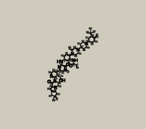 C=CC(=O)Nc1cc(Nc2nc(-c3ccnc(N4CCn5c(cc6c5CC(C)(C)C6)C4=O)c3CO)cn(C)c2=O)ccc1N1CCN(C2CCN(c3ccc(F)c(C(C)(C)C)c3)CC2)C[C@@H]1C